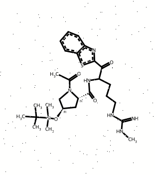 CNC(=N)NCCCC(NC(=O)[C@@H]1C[C@@H](O[Si](C)(C)C(C)(C)C)CN1C(C)=O)C(=O)c1nc2ccccc2s1